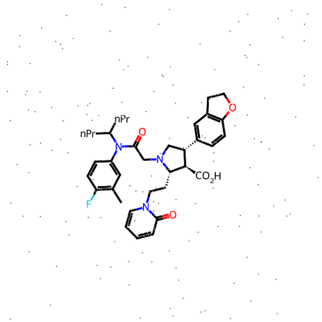 CCCC(CCC)N(C(=O)CN1C[C@H](c2ccc3c(c2)CCO3)[C@@H](C(=O)O)[C@@H]1CCn1ccccc1=O)c1ccc(F)c(C)c1